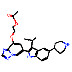 CC(=O)OCCOc1cc(-c2[nH]c3ccc(C4CCNCC4)cc3c2C(C)C)cn2ncnc12